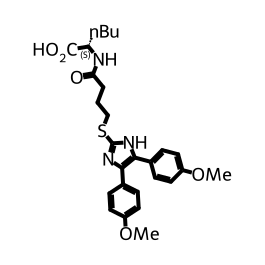 CCCC[C@H](NC(=O)CCCSc1nc(-c2ccc(OC)cc2)c(-c2ccc(OC)cc2)[nH]1)C(=O)O